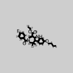 CCCCOc1ccc2c(c1)NC1C(C(=O)OCC)=CN(C(=O)c3ccc(F)cc3)CC(C)(C)C21